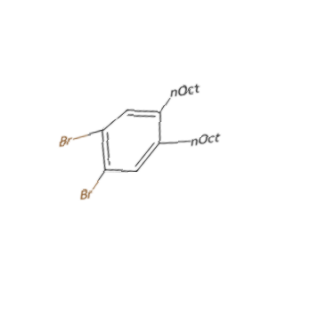 CCCCCCCCc1cc(Br)c(Br)cc1CCCCCCCC